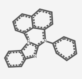 c1ccc(-n2c3cccc4cccc(c43)n3c4ccccc4nc23)cc1